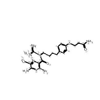 N=C(N)N(CCCCc1ccc(SCCC(N)=O)cc1)C(=O)c1nc(Cl)c(N)nc1N